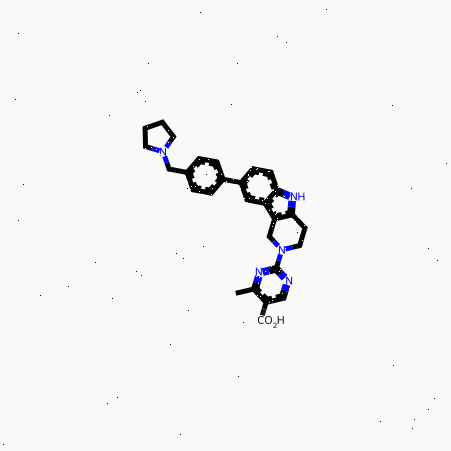 Cc1nc(N2CCc3[nH]c4ccc(-c5ccc(CN6CCCC6)cc5)cc4c3C2)ncc1C(=O)O